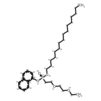 CCCCCCCCCCCCCCCCOP(=O)(CCOCCOCC)Oc1cccc2ccccc12